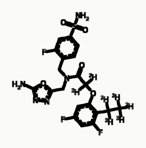 [2H]C([2H])(Oc1cc(F)cc(F)c1C([2H])([2H])C([2H])([2H])[2H])C(=O)N(Cc1nnc(N)o1)Cc1ccc(S(N)(=O)=O)cc1F